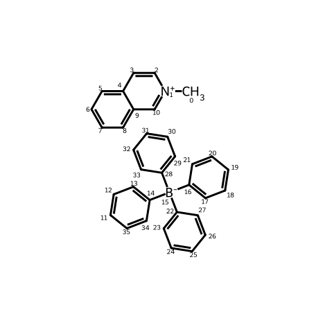 C[n+]1ccc2ccccc2c1.c1ccc([B-](c2ccccc2)(c2ccccc2)c2ccccc2)cc1